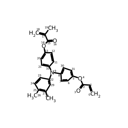 C=CC(=O)Oc1ccc(N(c2ccc(OC(=O)C(=C)C)cc2)c2ccc(C)c(C)c2)cc1